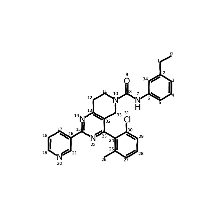 CCc1cccc(NC(=O)N2CCc3nc(-c4cccnc4)nc(-c4c(C)cccc4Cl)c3C2)c1